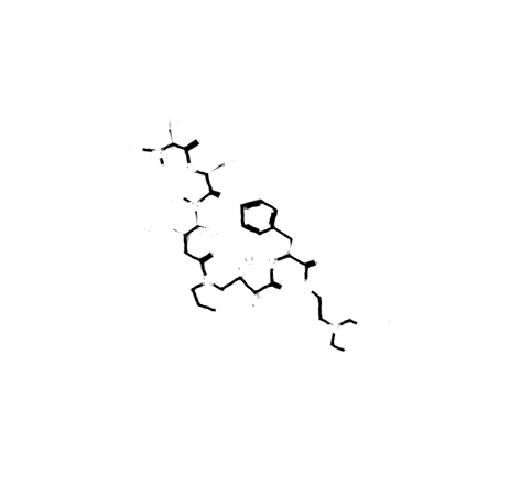 CC[C@H](C)[C@@H]([C@@H](CC(=O)N1CCC[C@H]1[C@H](OC)[C@@H](C)C(=O)N[C@@H](Cc1ccccc1)C(=O)OCCN(CC(=O)O)CC(=O)O)OC)N(C)C(=O)[C@@H](NC(=O)[C@H](C(C)C)N(C)CC)C(C)C